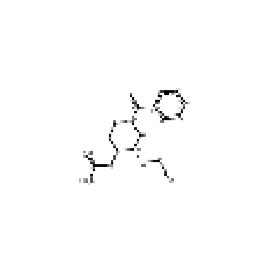 O=C(O)C[C@H]1CCN(C(=O)c2ccccc2)C[C@@H]1CCCl